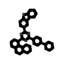 c1ccc(-c2ccc(-c3nc(-c4ccc5sc6ccccc6c5c4)nc(-c4cccc5ccc6ccccc6c45)n3)cc2)cc1